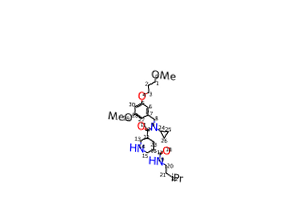 COCCCOc1cc(CN(C(=O)[C@@H]2CNC[C@@H](C(=O)NCCC(C)C)C2)C2CC2)cc(OC)c1